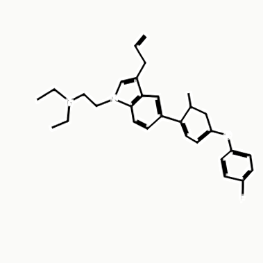 C=CCc1cn(CCN(CC)CC)c2ccc(C3=CC=C(Oc4ccc(F)cc4)CC3C)cc12